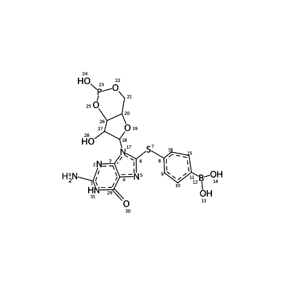 Nc1nc2c(nc(Sc3ccc(B(O)O)cc3)n2C2OC3COP(O)OC3C2O)c(=O)[nH]1